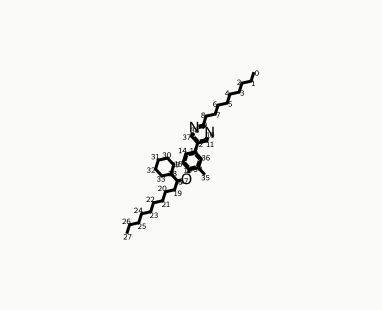 CCCCCCCCCc1ncc(-c2ccc(OC(CCCCCCCCC)C3CCCCC3)c(C)c2)cn1